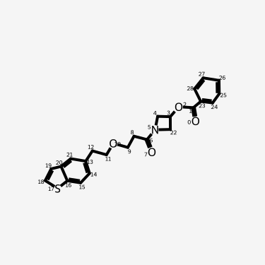 O=C(OC1CN(C(=O)CCOCCc2ccc3sccc3c2)C1)c1ccccc1